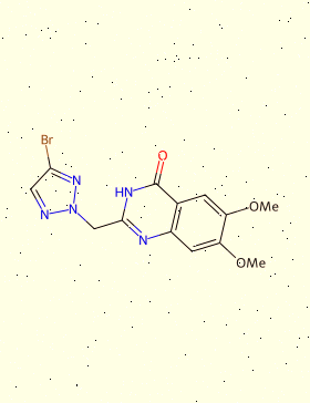 COc1cc2nc(Cn3ncc(Br)n3)[nH]c(=O)c2cc1OC